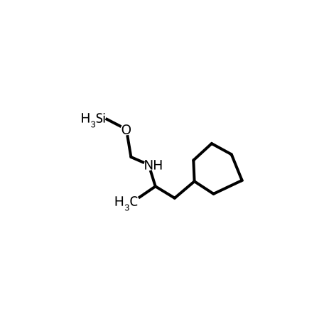 CC(CC1CCCCC1)NCO[SiH3]